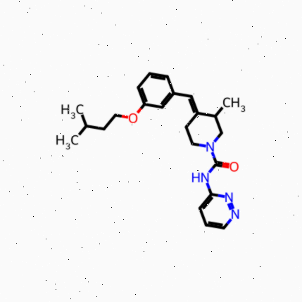 CC(C)CCOc1cccc(C=C2CCN(C(=O)Nc3cccnn3)CC2C)c1